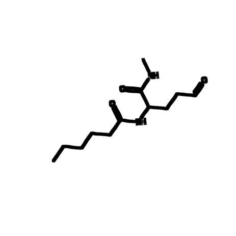 CCCCCC(=O)NC(CCC=O)C(=O)NC